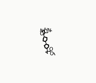 CCOC(=O)C1(c2ccc(-c3ccc(-c4onc(C)c4CNC)cc3)cc2)CC1